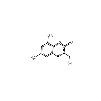 Cc1cc(C)c2oc(=O)c(CO)cc2c1